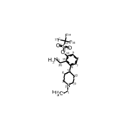 CCN1CCC(c2cccc(OS(=O)(=O)C(F)(F)F)c2CN)CC1